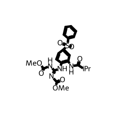 COC(=O)N=C(NC(=O)OC)Nc1ccc(S(=O)(=O)c2ccccc2)cc1NC(=O)C(C)C